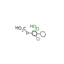 Cl.O=C(O)C1CC1c1cc(Cl)c(C2CCCCC2)c(Cl)c1